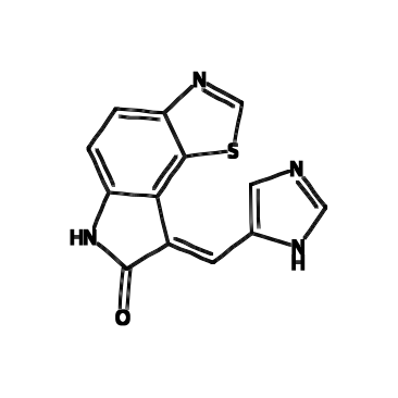 O=C1Nc2ccc3ncsc3c2/C1=C\c1cnc[nH]1